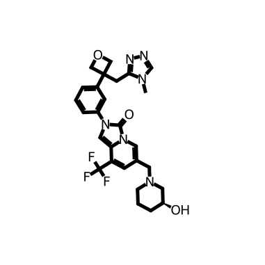 Cn1cnnc1CC1(c2cccc(-n3cc4c(C(F)(F)F)cc(CN5CCC[C@H](O)C5)cn4c3=O)c2)COC1